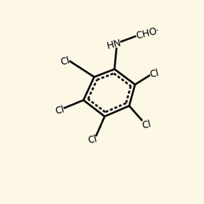 O=[C]Nc1c(Cl)c(Cl)c(Cl)c(Cl)c1Cl